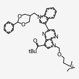 CC(C)(C)C(=O)c1cn(COCC[Si](C)(C)C)c2ncc(-c3cn(CC4COC(c5ccccc5)OC4)c4ccccc34)nc12